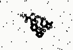 CCCCC(=O)N(Cc1ccc(-c2ccccc2S(=O)(=O)N(CCC(C)(C)C)c2noc(C)c2C)cc1)[C@H](C(N)=O)C(C)C